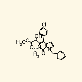 COC(=O)C(O)c1c(-c2ccc(Cl)cc2)c2ccn(Cc3ccccc3)c2c(=O)n1C